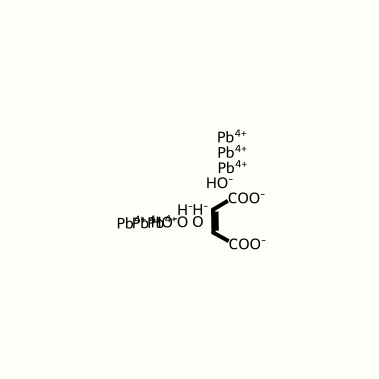 O=C([O-])/C=C\C(=O)[O-].[OH-].[OH-].[OH-].[OH-].[Pb+4].[Pb+4].[Pb+4].[Pb+4].[Pb+4].[Pb+4]